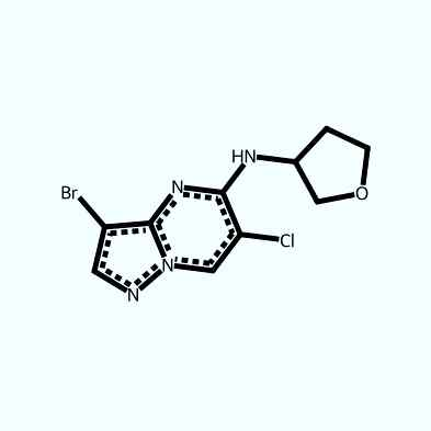 Clc1cn2ncc(Br)c2nc1NC1CCOC1